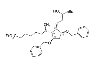 CCCCC(O)CO[C@@H]1[C@@H](N(C)CCCCCC(=O)OCC)[C@H](OCc2ccccc2)C[C@@H]1OCc1ccccc1